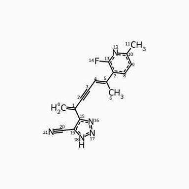 C=C(C#C/C=C(\C)c1ccc(C)nc1F)c1nn[nH]c1C#N